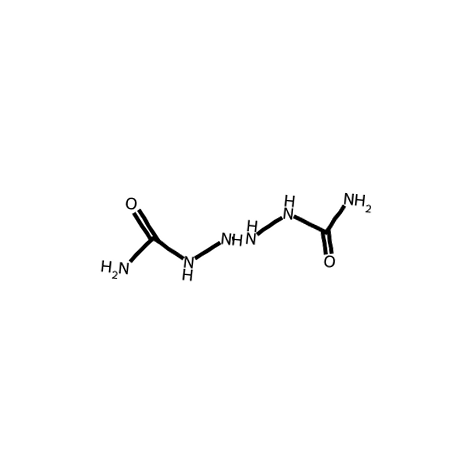 NC(=O)NNNNC(N)=O